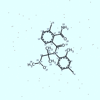 Cc1cc(I)ccc1N(C(=O)c1cccc(I)c1C(N)=O)C(C)(C)C[S+](C)[O-]